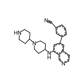 N#Cc1cccc(-c2cc(NC3CCN(C4CCNCC4)CC3)c3cnccc3c2)c1